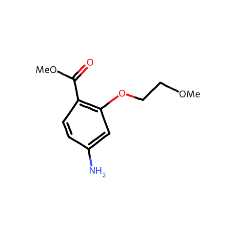 COCCOc1cc(N)ccc1C(=O)OC